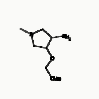 BC1CN(C)CC1OCC=O